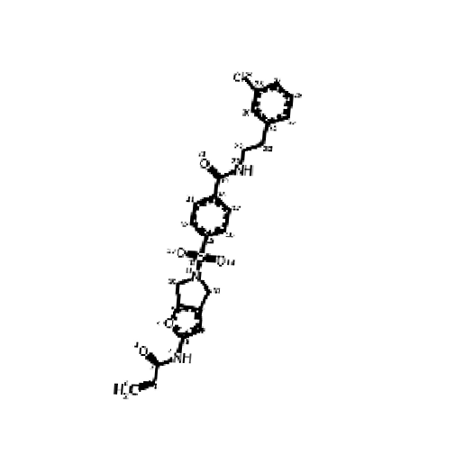 C=CC(=O)Nc1cc2c(o1)CN(S(=O)(=O)c1ccc(C(=O)NCCc3cccc(Cl)c3)cc1)C2